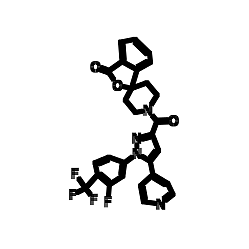 O=C1OC2(CCN(C(=O)c3cc(-c4ccncc4)n(-c4ccc(C(F)(F)F)c(F)c4)n3)CC2)c2ccccc21